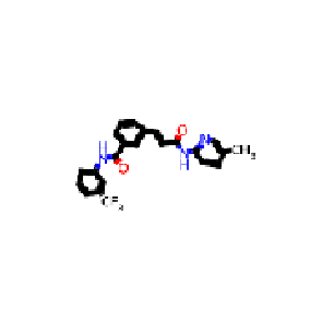 Cc1ccc(NC(=O)/C=C/c2cccc(C(=O)Nc3cccc(C(F)(F)F)c3)c2)nc1